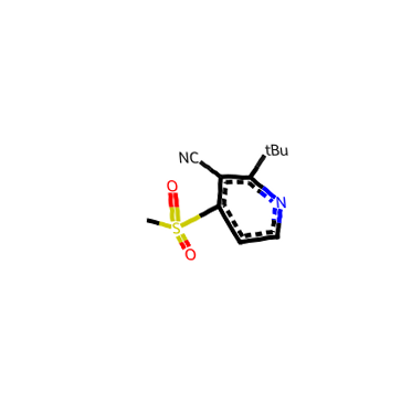 CC(C)(C)c1nccc(S(C)(=O)=O)c1C#N